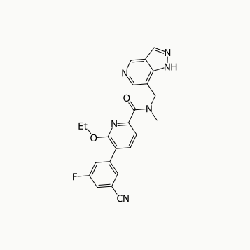 CCOc1nc(C(=O)N(C)Cc2cncc3cn[nH]c23)ccc1-c1cc(F)cc(C#N)c1